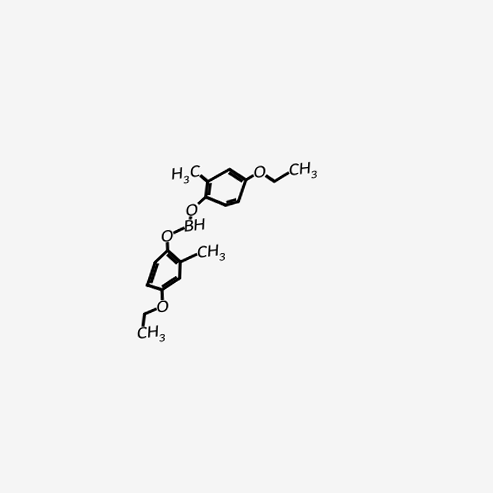 CCOc1ccc(OBOc2ccc(OCC)cc2C)c(C)c1